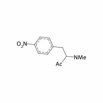 CNC(Cc1ccc([N+](=O)[O-])cc1)C(C)=O